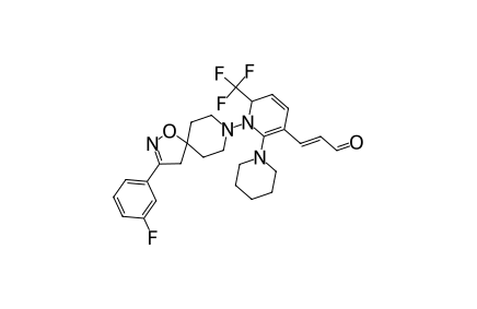 O=C/C=C/C1=C(N2CCCCC2)N(N2CCC3(CC2)CC(c2cccc(F)c2)=NO3)C(C(F)(F)F)C=C1